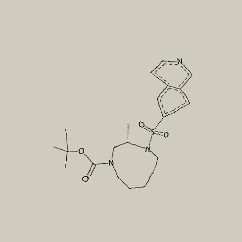 C[C@H]1CN(C(=O)OC(C)(C)C)CCCCCN1S(=O)(=O)c1ccc2cnccc2c1